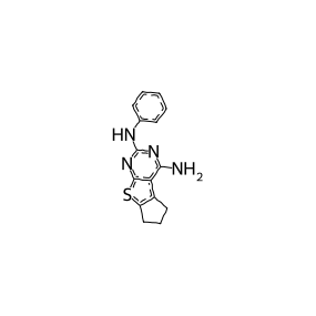 Nc1nc(Nc2ccccc2)nc2sc3c(c12)CCC3